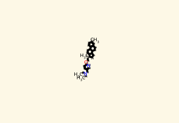 CCN(CC)Cc1ccc(OCC[C@H]2CCC3C4CCc5cc(C)ccc5C4CC[C@@]32C)nc1